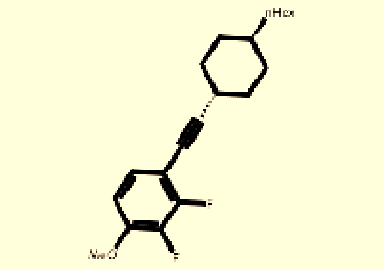 CCCCCC[C@H]1CC[C@H](C#Cc2ccc(OC)c(F)c2F)CC1